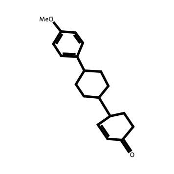 COc1ccc(C2CCC(C3C=CC(=O)CC3)CC2)cc1